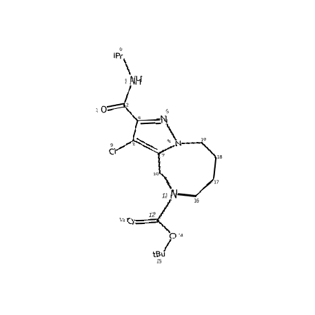 CC(C)NC(=O)c1nn2c(c1Cl)CN(C(=O)OC(C)(C)C)CCCC2